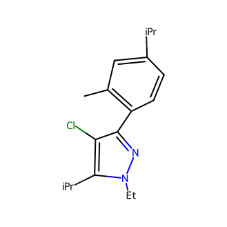 CCn1nc(-c2ccc(C(C)C)cc2C)c(Cl)c1C(C)C